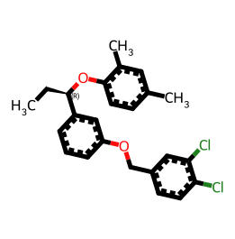 CC[C@@H](Oc1ccc(C)cc1C)c1cccc(OCc2ccc(Cl)c(Cl)c2)c1